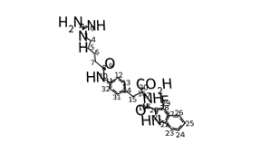 N=C(N)NCCCCC(=O)Nc1ccc(C[C@H](NC(=O)c2[nH]c3ccccc3c2F)C(=O)O)cc1